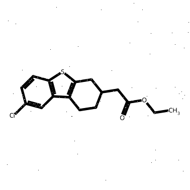 CCOC(=O)CC1CCc2c(sc3ccc(Cl)cc23)C1